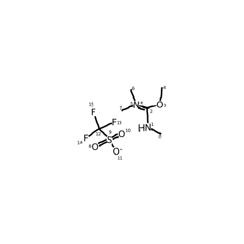 CNC(OC)=[N+](C)C.O=S(=O)([O-])C(F)(F)F